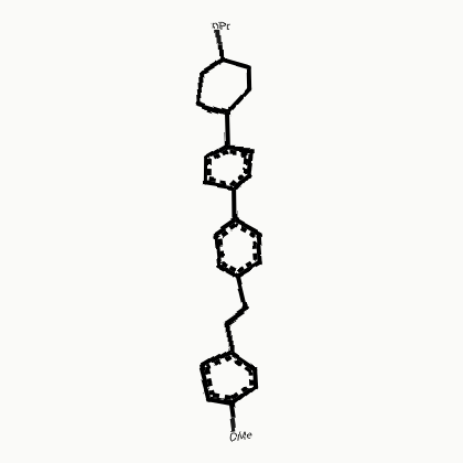 CCCC1CCC(c2ccc(-c3ccc(CCc4ccc(OC)cc4)cc3)cc2)CC1